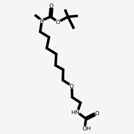 CN(CCCCCCCOCCNC(=O)O)C(=O)OC(C)(C)C